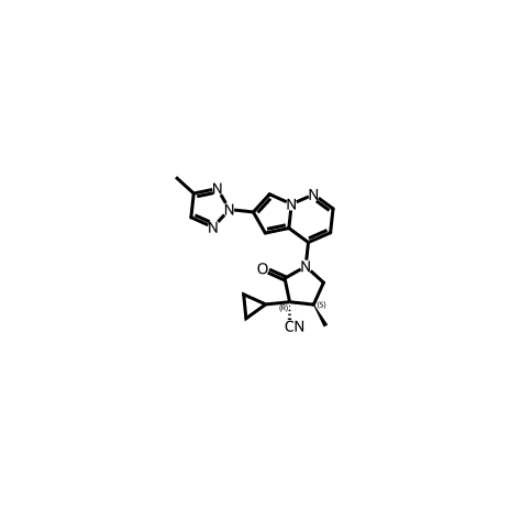 Cc1cnn(-c2cc3c(N4C[C@@H](C)[C@@](C#N)(C5CC5)C4=O)ccnn3c2)n1